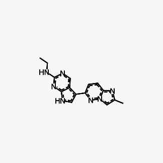 CCNc1ncc2c(-c3ccc4nc(C)cn4n3)c[nH]c2n1